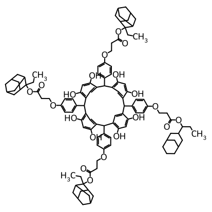 CCC(OC(=O)CCOc1ccc(C2c3cc(c(O)cc3O)C(c3ccc(OCCC(=O)OC4(CC)C5CC6CC(C5)CC4C6)cc3)c3cc(c(O)cc3O)C(c3ccc(OCCC(=O)OC4(CC)C5CC6CC(C5)CC4C6)cc3)c3cc(c(O)cc3O)C(c3ccc(OCCC(=O)OC4(CC)C5CC6CC(C5)CC4C6)cc3)c3cc2c(O)cc3O)cc1)C1CC2CCCC(C2)C1